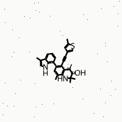 Cc1cc(C#Cc2c(-c3cccc4c(C)c[nH]c34)cc(C)c3c2[C@@H](C)[C@H](O)C(C)(C)N3)cs1